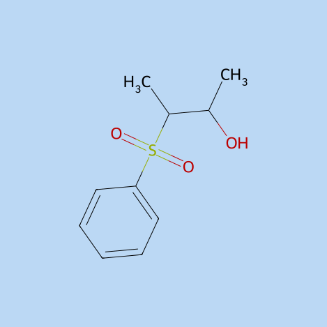 CC(O)C(C)S(=O)(=O)c1ccccc1